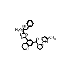 Cc1csc([C@H]2CCCN2C(=O)c2cc3c(c(-c4nnc([C@@](C)(N)Cc5ccccc5)o4)c2)CCCO3)n1